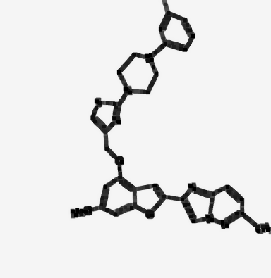 COc1cc(OCc2csc(N3CCN(c4cccc(Cl)c4)CC3)n2)c2cc(-c3cn4nc(C)ccc4n3)oc2c1